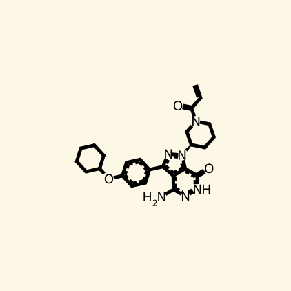 C=CC(=O)N1CCC[C@@H](n2nc(-c3ccc(OC4CCCCC4)cc3)c3c(N)n[nH]c(=O)c32)C1